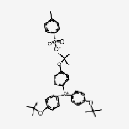 CC(C)(C)Oc1ccc([S+](c2ccc(OC(C)(C)C)cc2)c2ccc(OC(C)(C)C)cc2)cc1.Cc1ccc(S(=O)(=O)[O-])cc1